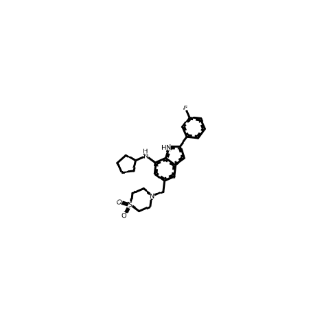 O=S1(=O)CCN(Cc2cc(NC3CCCC3)c3[nH]c(-c4cccc(F)c4)cc3c2)CC1